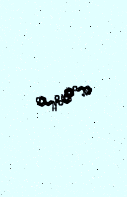 CN1CCCC1CCOc1ccc2nc(OC(=O)NCCC3CCOCC3)ccc2c1